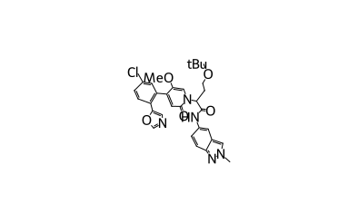 COc1cn(C(CCOC(C)(C)C)C(=O)Nc2ccc3nn(C)cc3c2)c(=O)cc1-c1cc(Cl)ccc1-c1cnco1